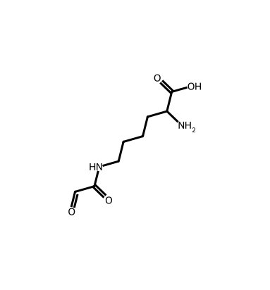 NC(CCCCNC(=O)C=O)C(=O)O